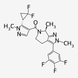 C[C@H]1c2nn(C)c(-c3cc(F)c(F)c(F)c3)c2CCN1C(=O)c1cnn(C)c1[C@@H]1CC1(F)F